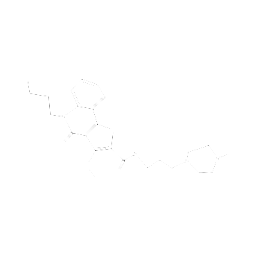 CCCCn1c(=O)c2c(OC)c(C(=O)NCCCN3CCN(C)CC3)sc2c2ccccc21